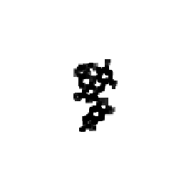 Cn1cnc(Cn2c(=O)nc(Nc3cc4cn(C)nc4cc3Br)n(Cc3cc(F)c(F)cc3F)c2=O)n1